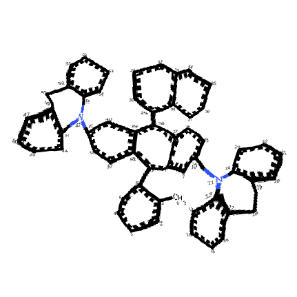 Cc1ccccc1-c1c2cc(N3c4ccccc4Cc4ccccc43)ccc2c(-c2cccc3ccccc23)c2cc(N3c4ccccc4Cc4ccccc43)ccc12